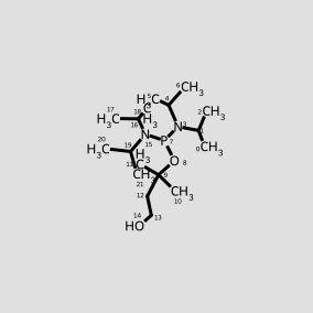 CC(C)N(C(C)C)P(OC(C)(C)CCO)N(C(C)C)C(C)C